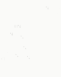 O=c1c2cnc(Nc3ccc4c(c3)CC(NC3CC3)C4)nc2n2ccnc2n1-c1c(Cl)cccc1Cl